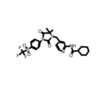 CC1(C)C(=O)N(c2ccc(S(=O)(=O)C(F)(F)F)cc2)C(=O)N1Cc1ccnc(NC(=O)C2CCCCC2)c1